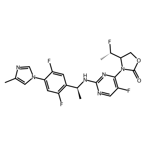 Cc1cn(-c2cc(F)c([C@H](C)Nc3ncc(F)c(N4C(=O)OCC4[C@H](C)F)n3)cc2F)cn1